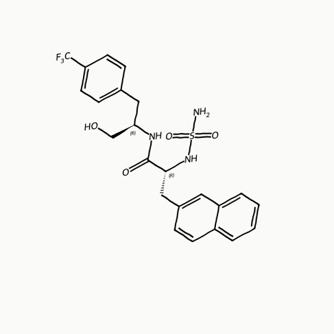 NS(=O)(=O)N[C@H](Cc1ccc2ccccc2c1)C(=O)N[C@@H](CO)Cc1ccc(C(F)(F)F)cc1